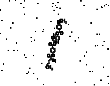 CCCCC(Br)C(=O)Oc1ccc(C(=O)O[C@@H]2CO[C@H]3[C@@H]2CC[C@H]3OC(=O)c2ccc(OC)cc2)cc1